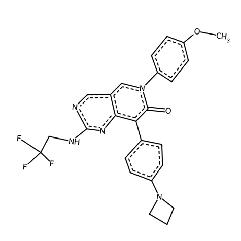 COc1ccc(-n2cc3cnc(NCC(F)(F)F)nc3c(-c3ccc(N4CCC4)cc3)c2=O)cc1